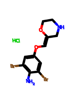 Cl.Nc1c(Br)cc(OC=C2CNCCO2)cc1Br